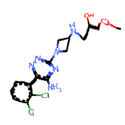 COCC(O)CNC1CN(c2nnc(-c3cccc(Cl)c3Cl)c(N)n2)C1